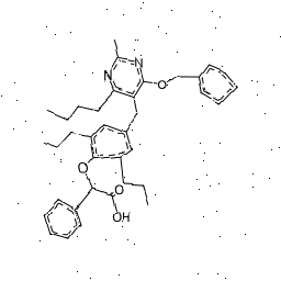 CCCCc1nc(C)nc(OCc2ccccc2)c1Cc1cc(CCC)c(OC(C(=O)O)c2ccccc2)c(CCC)c1